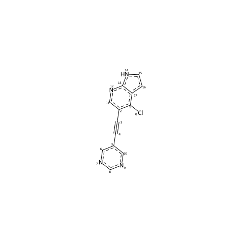 Clc1c(C#Cc2cncnc2)cnc2[nH]ccc12